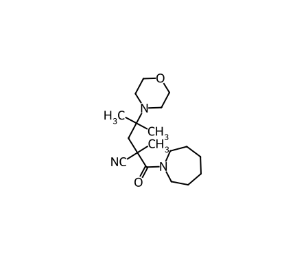 CC(C#N)(CC(C)(C)N1CCOCC1)C(=O)N1CCCCCC1